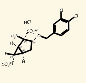 CCOC(=O)[C@@]1(F)[C@@H]2C[C@@H](OCc3ccc(Cl)c(Cl)c3)[C@@](N)(C(=O)O)[C@@H]21.Cl